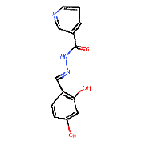 O=C(N/N=C/c1ccc(O)cc1O)c1cccnc1